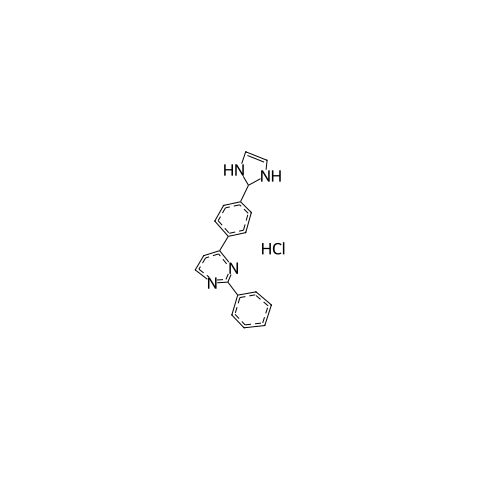 C1=CNC(c2ccc(-c3ccnc(-c4ccccc4)n3)cc2)N1.Cl